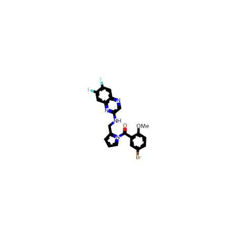 COc1ccc(Br)cc1C(=O)n1cccc1CNc1cnc2cc(F)c(F)cc2n1